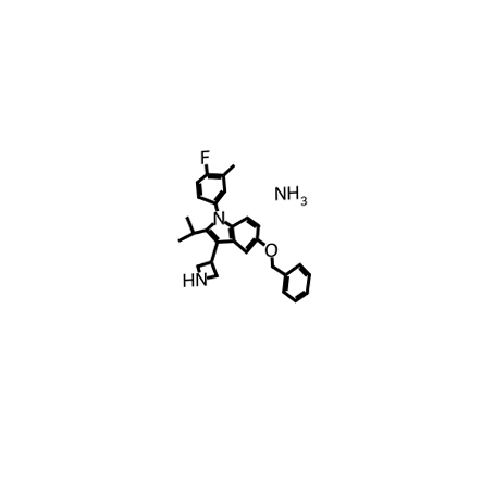 Cc1cc(-n2c(C(C)C)c(C3CNC3)c3cc(OCc4ccccc4)ccc32)ccc1F.N